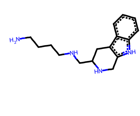 NCCCCNCC1Cc2c([nH]c3ccccc23)CN1